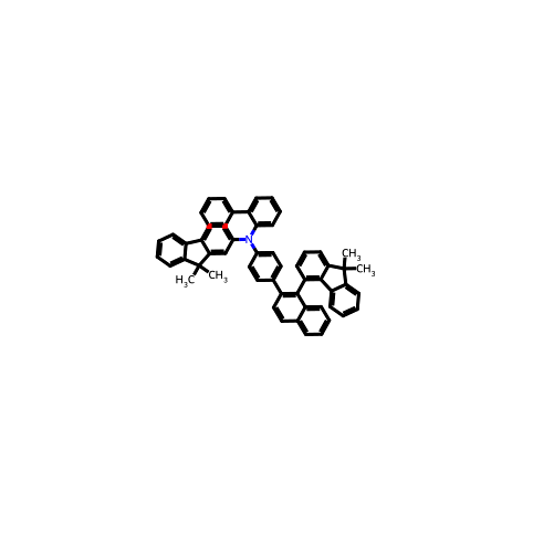 CC1(C)c2ccccc2-c2ccc(N(c3ccc(-c4ccc5ccccc5c4-c4cccc5c4-c4ccccc4C5(C)C)cc3)c3ccccc3-c3ccccc3)cc21